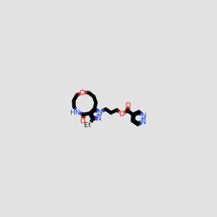 CCc1nn(CCCOC(=O)c2ccnnc2)c2c1C(=O)NCCCOCCC2